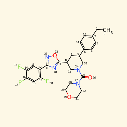 CCc1ccc(C2CC(c3nc(-c4cc(F)c(F)cc4F)no3)CN(C(=O)N3CCOCC3)C2)cc1